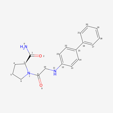 NC(=O)[C@@H]1CCCN1C(=O)CNc1ccc(-c2ccccc2)cc1